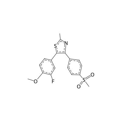 COc1ccc(-c2sc(C)nc2-c2ccc(S(C)(=O)=O)cc2)cc1F